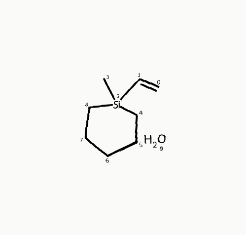 C=C[Si]1(C)CCCCC1.O